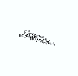 C=Cc1ccc2cc(OC(=O)COc3cc(C(F)(F)F)c(S(=O)(=O)O)cc3[N+](=O)[O-])ccc2c1